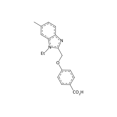 CCn1c(COc2ccc(C(=O)O)cc2)nc2ccc(C)cc21